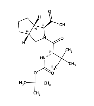 CC(C)(C)OC(=O)N[C@H](C(=O)N1C[C@@H]2CCC[C@@H]2[C@H]1C(=O)O)C(C)(C)C